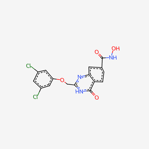 O=C(NO)c1ccc2c(=O)[nH]c(COc3cc(Cl)cc(Cl)c3)nc2c1